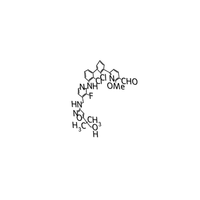 COc1nc(-c2cccc(-c3cccc(Nc4nccc(CNc5cc(C(C)(C)CO)on5)c4F)c3Cl)c2Cl)ccc1C=O